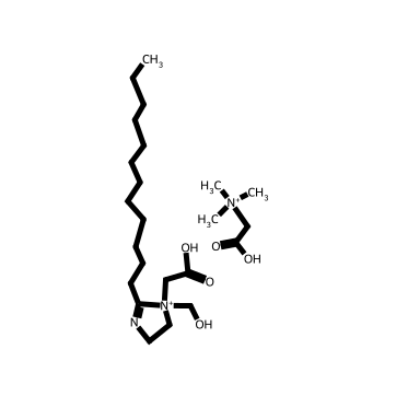 CCCCCCCCCCCCC1=NCC[N+]1(CO)CC(=O)O.C[N+](C)(C)CC(=O)O